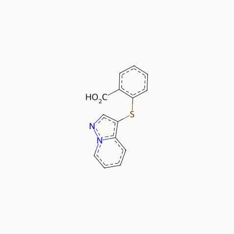 O=C(O)c1ccccc1Sc1cnn2ccccc12